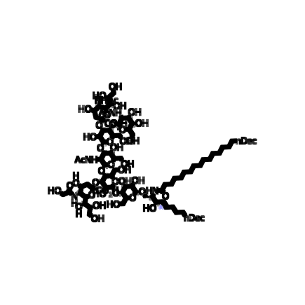 CCCCCCCCCCCCC/C=C/[C@@H](O)[C@H](CO[C@@H]1OC(CO)[C@@H](O[C@@H]2OC(CO)[C@H](O[C@@H]3OC(CO)[C@H](O)[C@H](O[C@@H]4OC(CO)[C@H](O[C@@H]5OC(CO)[C@H](O)[C@H](O)C5NC(C)=O)[C@H](O[C@]5(C(=O)O)CC(O)[C@@H](NC(C)=O)C([C@H](O)[C@H](O)CO)O5)C4O)C3NC(C)=O)[C@H](O[C@]3(C(=O)O)CC(O)[C@@H](NC(=O)CO)C([C@H](O)[C@H](O)CO)O3)C2O)[C@H](O)C1O)NC(=O)CCCCCCCCCCCCCCCCCCCCCCCCC